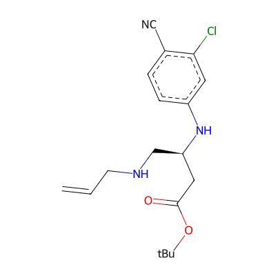 C=CCNC[C@H](CC(=O)OC(C)(C)C)Nc1ccc(C#N)c(Cl)c1